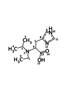 CCN(C(C)C)C(Cc1c[nH]cn1)C(=O)O